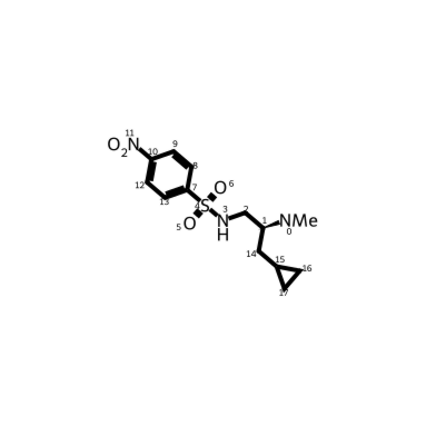 CN[C@H](CNS(=O)(=O)c1ccc([N+](=O)[O-])cc1)CC1CC1